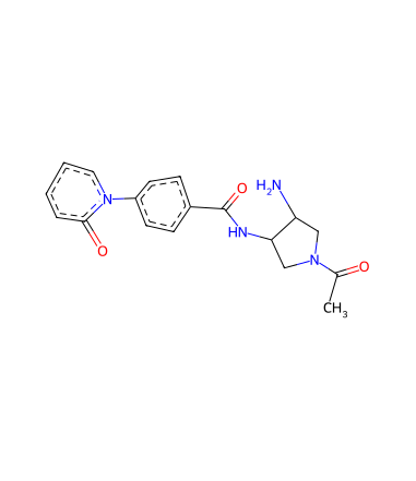 CC(=O)N1CC(N)C(NC(=O)c2ccc(-n3ccccc3=O)cc2)C1